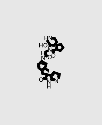 O=C(CN(C(=O)C1CCCC1)[C@]1(O)CCCNC1)Nc1ccc2c(c1)C[C@@]1(C2)C(=O)Nc2ncccc21